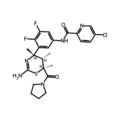 C[C@@H]1[C@@](C)(C(=O)N2CCCC2)SC(N)=N[C@]1(C)c1cc(NC(=O)c2ccc(Cl)cn2)cc(F)c1F